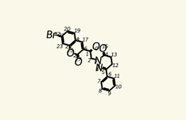 O=C(CN1N=C(c2ccccc2)CCC1=O)c1cc2ccc(Br)cc2oc1=O